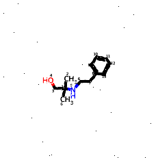 CC(C)(CO)NCCc1ccccc1